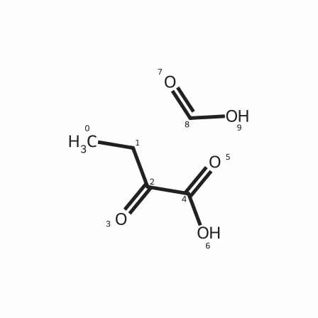 CCC(=O)C(=O)O.O=CO